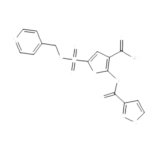 NC(=O)c1cc(S(=O)(=O)NCc2ccncc2)sc1NC(=O)c1cc[nH]n1